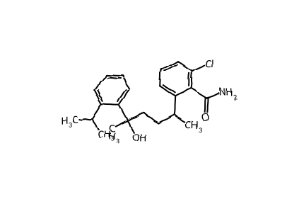 CC(C)c1ccccc1C(C)(O)CCC(C)c1cccc(Cl)c1C(N)=O